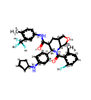 Cc1ccc(NC(=O)C2CC3COCC3N(C(=O)c3c(C)cccc3F)[C@H]2c2ccc(NC3CCCC3)cc2)cc1C(F)(F)F